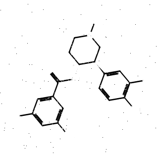 Cc1ccc([C@@H]2CN(C(=O)O)CC[C@H]2NC(=O)c2cc(C(F)(F)F)cc(C(F)(F)F)c2)cc1Cl